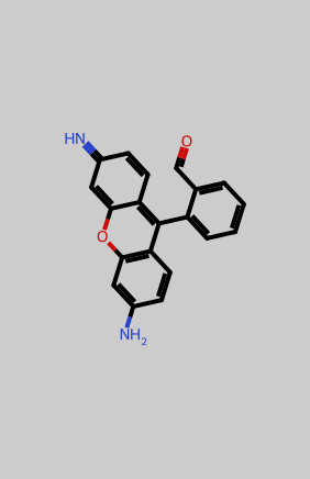 N=c1ccc2c(-c3ccccc3C=O)c3ccc(N)cc3oc-2c1